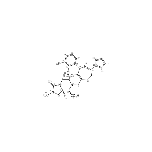 CCOC(=O)C1=C(CN2CCN3C(=O)N(C(C)(C)C)C[C@H]3[C@@H]2C(=O)O)CCC(c2nccs2)=N[C@H]1c1cccc(F)c1Cl